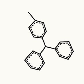 Cc1ccc(C(c2ccccc2)c2ccccc2)cc1